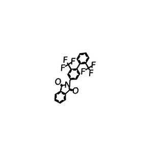 O=C1c2ccccc2C(=O)N1c1ccc(-c2ccccc2C(F)(F)F)c(C(F)(F)F)c1